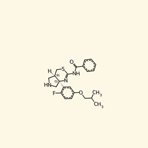 CC(C)COc1ccc(F)c([C@]23CNC[C@H]2CSC(NC(=O)c2ccccc2)=N3)c1